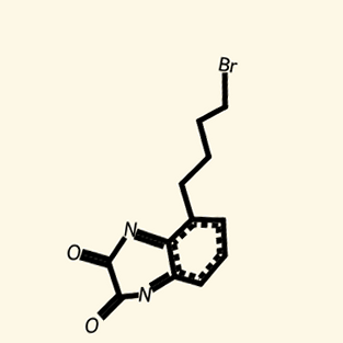 O=C1N=c2cccc(CCCCBr)c2=NC1=O